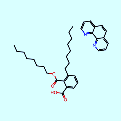 CCCCCCCCOC(=O)c1c(CCCCCCCC)cccc1C(=O)O.c1cnc2c(c1)ccc1cccnc12